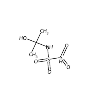 CC(C)(O)NS(=O)(=O)[SH](=O)=O